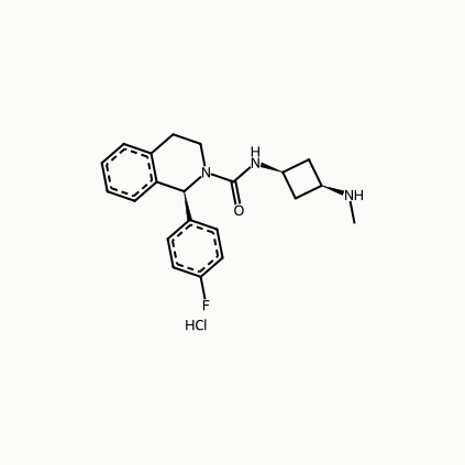 CN[C@H]1C[C@@H](NC(=O)N2CCc3ccccc3[C@@H]2c2ccc(F)cc2)C1.Cl